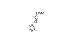 CO[C@H]1C[C@@H](OCc2ccccc2)C1